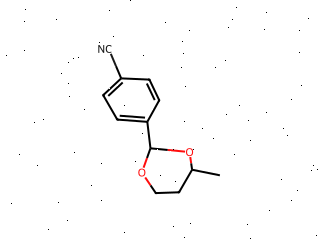 CC1CCOC(c2ccc(C#N)cc2)O1